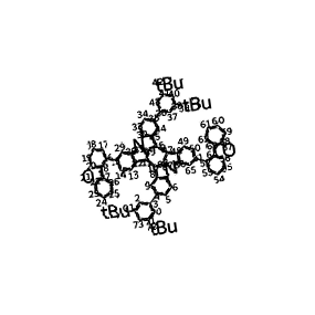 CC(C)(C)c1cc(-c2ccc3c(c2)c2c4c5ccc(-c6cccc7oc8ccccc8c67)cc5n5c6ccc(-c7cc(C(C)(C)C)cc(C(C)(C)C)c7)cc6c(c6c7ccc(-c8cccc9oc%10ccccc%10c89)cc7n3c26)c45)cc(C(C)(C)C)c1